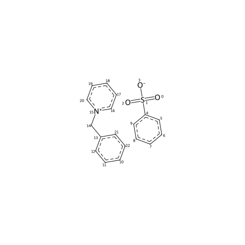 O=S(=O)([O-])c1ccccc1.c1ccc(C[n+]2ccccc2)cc1